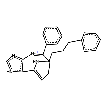 C1=C(\NCCCCc2ccccc2)c2[nH]cnc2/N=C(/c2ccccc2)CC/1